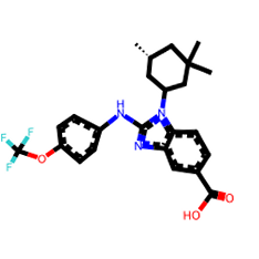 C[C@H]1CC(n2c(Nc3ccc(OC(F)(F)F)cc3)nc3cc(C(=O)O)ccc32)CC(C)(C)C1